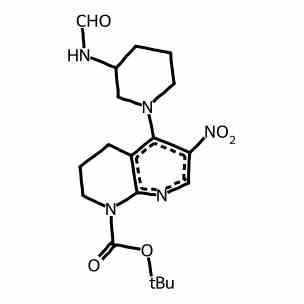 CC(C)(C)OC(=O)N1CCCc2c1ncc([N+](=O)[O-])c2N1CCCC(NC=O)C1